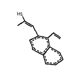 C=Cc1c(/C=C(\C)S)ccc2ccccc12